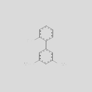 COc1cc(OC)cc(-c2ccccc2C(F)(F)F)c1